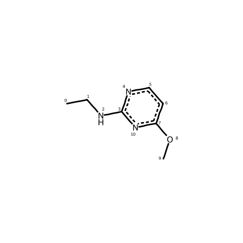 CCNc1nccc(OC)n1